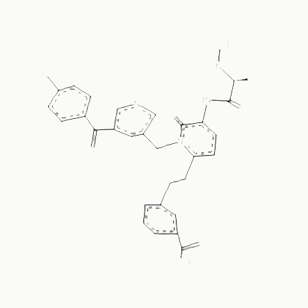 CN[C@@H](C)C(=O)Nc1ccc(CCc2cccc(C(=O)O)c2)n(Cc2cncc(C(=O)c3ccc(F)cc3)c2)c1=O